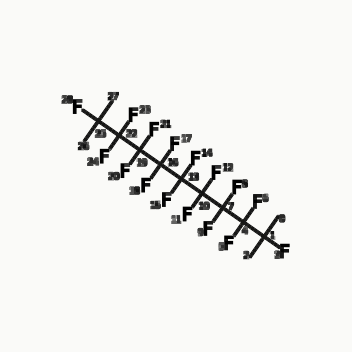 CC(C)(F)C(F)(F)C(F)(F)C(F)(F)C(F)(F)C(F)(F)C(F)(F)C(F)(F)C(C)(C)F